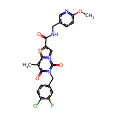 COc1ccc(CNC(=O)c2cn3c(=O)n(Cc4ccc(Cl)c(F)c4)c(=O)c(C)c3s2)cn1